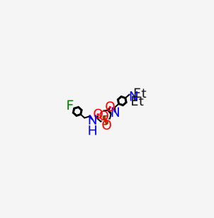 CCN(CC)Cc1ccc(-c2nc(CS(=O)(=O)CC(=O)NCCc3ccc(F)cc3)c(C)o2)cc1